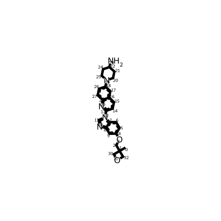 CC1(COc2ccc3c(c2)ncn3-c2ccc3cc(N4CCC(N)CC4)ccc3n2)COC1